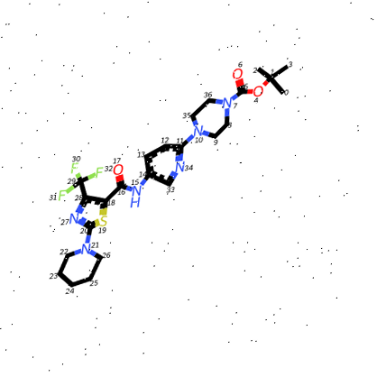 CC(C)(C)OC(=O)N1CCN(c2ccc(NC(=O)c3sc(N4CCCCC4)nc3C(F)(F)F)cn2)CC1